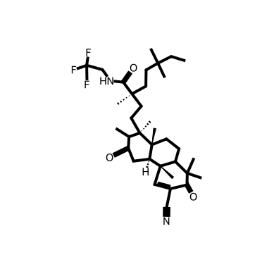 CCC(C)(C)CC[C@@](C)(CC[C@]1(C)C(C)C(=O)C[C@@H]2[C@@]3(C)C=C(C#N)C(=O)C(C)(C)C3CC[C@]21C)C(=O)NCC(F)(F)F